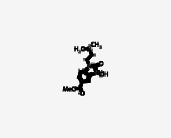 COC(=O)c1ccc2c(c1)[nH]c(=O)n2CCN(C)C.Cl